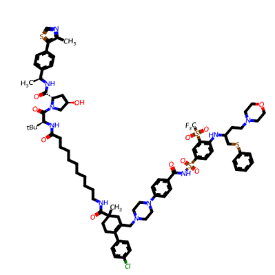 Cc1ncsc1-c1ccc([C@H](C)NC(=O)[C@@H]2C[C@@H](O)CN2C(=O)[C@@H](NC(=O)CCCCCCCCCCNC(=O)C2(C)CCC(c3ccc(Cl)cc3)=C(CN3CCN(c4ccc(C(=O)NS(=O)(=O)c5ccc(NC(CCN6CCOCC6)CSc6ccccc6)c(S(=O)(=O)C(F)(F)F)c5)cc4)CC3)C2)C(C)(C)C)cc1